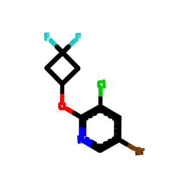 FC1(F)CC(Oc2ncc(Br)cc2Cl)C1